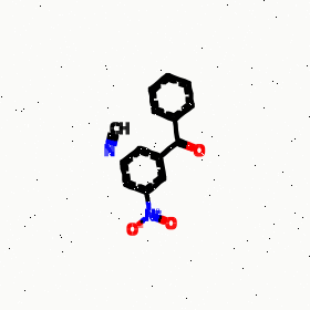 C#N.O=C(c1ccccc1)c1cccc([N+](=O)[O-])c1